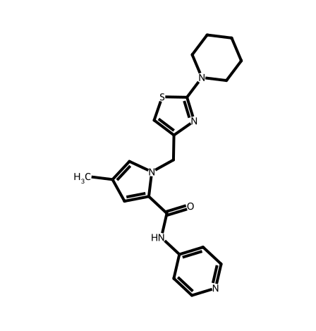 Cc1cc(C(=O)Nc2ccncc2)n(Cc2csc(N3CCCCC3)n2)c1